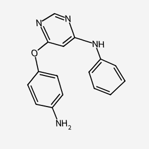 Nc1ccc(Oc2cc(Nc3ccccc3)ncn2)cc1